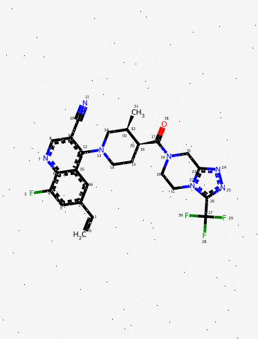 C=Cc1cc(F)c2ncc(C#N)c(N3CC[C@H](C(=O)N4CCn5c(nnc5C(F)(F)F)C4)[C@H](C)C3)c2c1